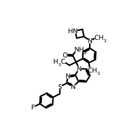 CCC(C(N)=O)(c1cc(N(C)C2CNC2)ccc1C)n1cccc2nc(SCc3ccc(F)cc3)nc1-2